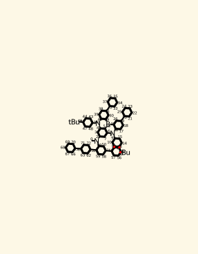 CN(c1cc2c3c(c1)N(c1ccc(C(C)(C)C)cc1)c1ccc(-c4ccccc4)cc1B3c1cc(-c3ccccc3)ccc1N2c1ccc(C(C)(C)C)cc1)c1cc(-c2ccccc2)ccc1-c1ccc(-c2ccccc2)cc1